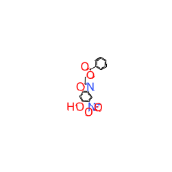 O=C(OCc1nc2cc([N+](=O)[O-])c(O)cc2o1)c1ccccc1